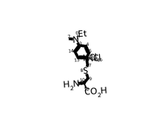 CCN(C)c1ccc(CSC[C@H](N)C(=O)O)cc1.Cl.Cl